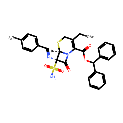 CC(=O)OCC1=C(C(=O)OC(c2ccccc2)c2ccccc2)N2C(=O)[C@@](N=Cc3ccc([N+](=O)[O-])cc3)(S(N)(=O)=O)[C@H]2SC1